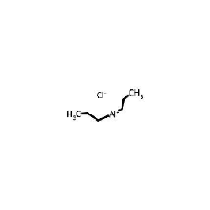 CC[CH2][Al+][CH2]CC.[Cl-]